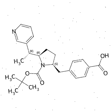 C[C@H](c1cccnc1)[C@H]1CC[C@@H](Cc2ccc(C(=O)O)cc2)N1C(=O)OC(C)(C)C